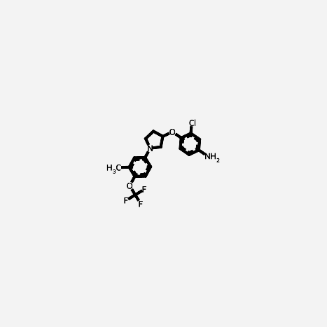 Cc1cc(N2CCC(Oc3ccc(N)cc3Cl)C2)ccc1OC(F)(F)F